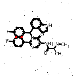 CN[C@@H](C)C(=O)Nc1cnc(-c2ccc(F)cc2)n(C(c2ccc(F)cc2)c2cccc3[nH]ccc23)c1=O